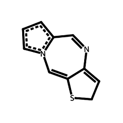 C1=NC2=CCSC2=Cn2cccc21